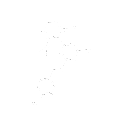 COc1ccc(COc2cc(C)nc(-c3c(OC)ncnc3C3CC3)n2)cc1